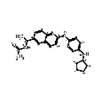 CC(=O)NC(C)c1ccc2nc(Oc3ccc(NC4CCCC4)cc3)ccc2c1